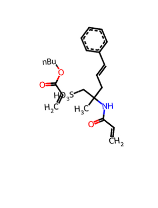 C=CC(=O)NC(C)(CC=Cc1ccccc1)CS(=O)(=O)O.C=CC(=O)OCCCC